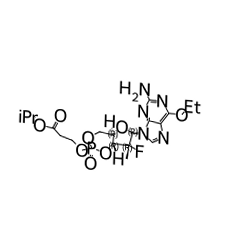 CCOc1nc(N)nc2c1ncn2[C@@H]1O[C@@H]2COP(=O)(OCCC(=O)OC(C)C)O[C@H]2[C@@]1(C)F